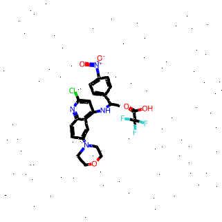 CC(Nc1cc(Cl)nc2ccc(N3CCOCC3)cc12)c1ccc([N+](=O)[O-])cc1.O=C(O)C(F)(F)F